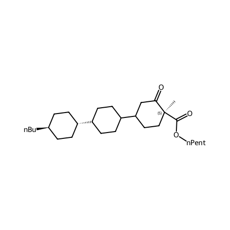 CCCCCOC(=O)[C@@]1(C)CCC(C2CCC([C@H]3CC[C@H](CCCC)CC3)CC2)CC1=O